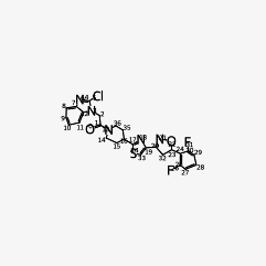 O=C(Cn1c(Cl)nc2ccccc21)N1CCC(c2nc(C3=NOC(c4c(F)cccc4F)C3)cs2)CC1